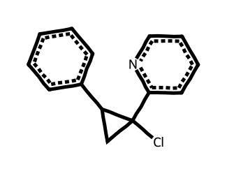 ClC1(c2ccccn2)CC1c1ccccc1